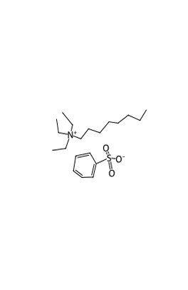 CCCCCCCC[N+](CC)(CC)CC.O=S(=O)([O-])c1ccccc1